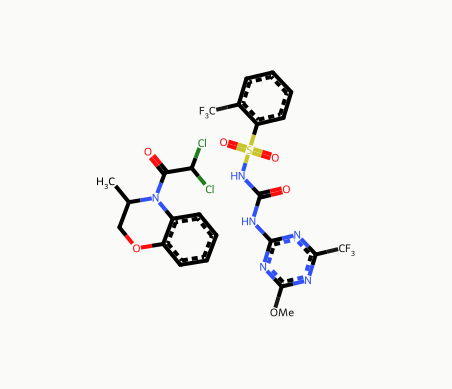 CC1COc2ccccc2N1C(=O)C(Cl)Cl.COc1nc(NC(=O)NS(=O)(=O)c2ccccc2C(F)(F)F)nc(C(F)(F)F)n1